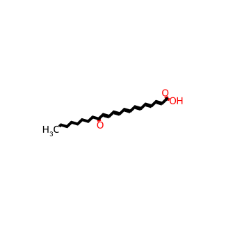 CCCCCCCCC(=O)/C=C/C=C/C=C/C=C/C=C/C=C/C(=O)O